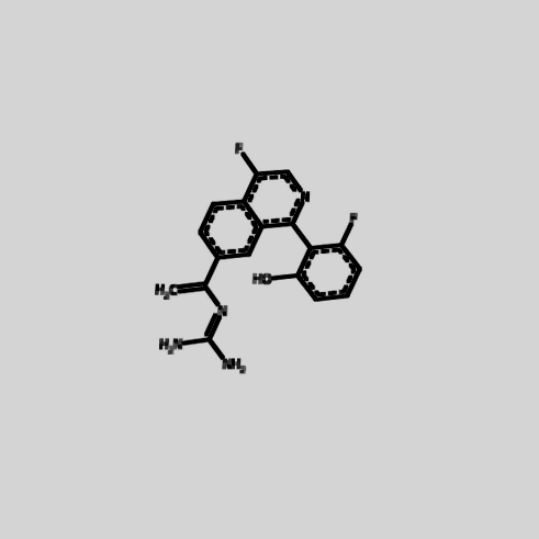 C=C(N=C(N)N)c1ccc2c(F)cnc(-c3c(O)cccc3F)c2c1